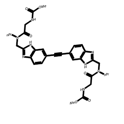 CCCN(Cc1nc2ccc(C#Cc3ccc4nc(CN(CCC)C(=O)CNC(=O)OC)[nH]c4c3)cc2[nH]1)C(=O)CNC(=O)OC